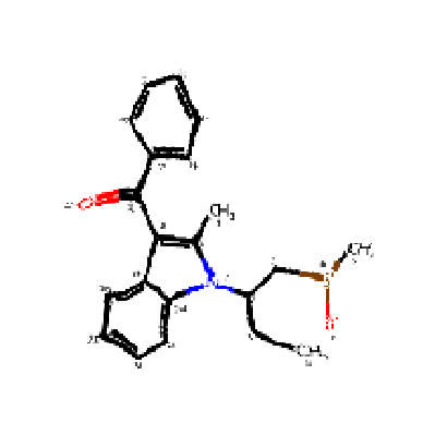 CCC(C[S+](C)[O-])n1c(C)c(C(=O)c2ccccc2)c2ccccc21